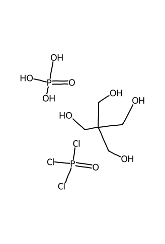 O=P(Cl)(Cl)Cl.O=P(O)(O)O.OCC(CO)(CO)CO